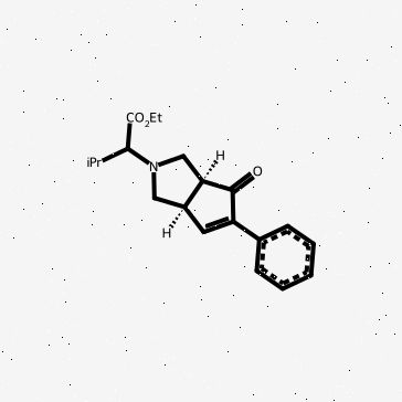 CCOC(=O)C(C(C)C)N1C[C@@H]2C=C(c3ccccc3)C(=O)[C@@H]2C1